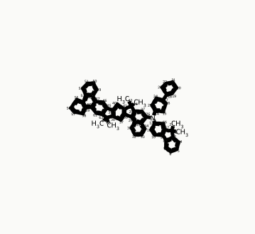 CC1(C)c2ccccc2-c2ccc(N(c3ccc(-c4ccccc4)cc3)c3cc4c(c5ccccc35)-c3cc5c(cc3C4(C)C)-c3cc4c6ccccc6c6ccccc6c4cc3C5(C)C)cc21